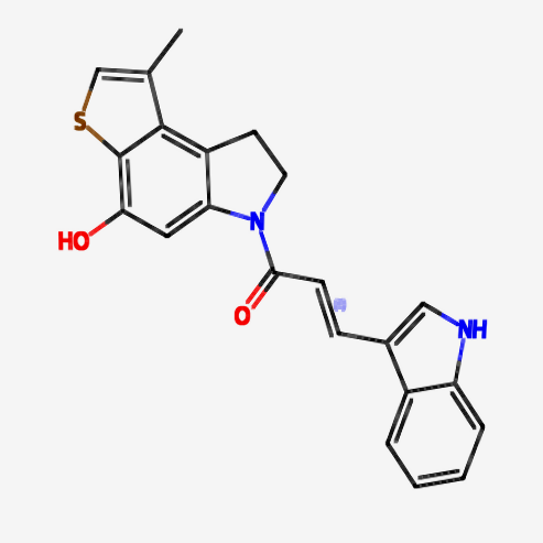 Cc1csc2c(O)cc3c(c12)CCN3C(=O)/C=C/c1c[nH]c2ccccc12